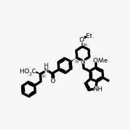 CCO[C@@H]1CCN(Cc2c(OC)cc(C)c3[nH]ccc23)[C@H](c2ccc(C(=O)N[C@@H](Cc3ccccc3)C(=O)O)cc2)C1